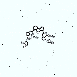 CCC1CN([C@@H]2CCc3cc(-c4cccc(-c5cccc(-c6cc7c(c(OC)n6)[C@H](NC[C@@H]6CCC(=O)N6)CC7)c5Cl)c4Cl)nc(OC)c32)C1